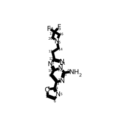 Nc1nc(-c2ncco2)cc2nc(CCN3CC(F)(F)C3)nn12